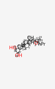 C=C1/C(=C\C=C2/CCC[C@]3(C)[C@@H]([C@H](C)/C=C/CCC4(C(=O)CCC)CC4)CC[C@@H]23)C[C@@H](O)C[C@@H]1O